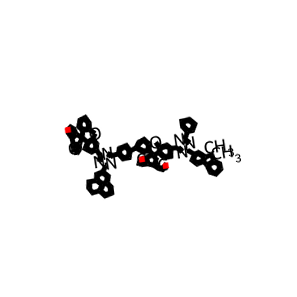 CC1(C)c2ccccc2-c2ccc(-c3nc(-c4ccccc4)nc(-c4ccc5c(c4)Oc4ccc(-c6ccc(-c7nc(-c8ccc9c(c8)Oc8ccccc8C98c9ccccc9-c9ccccc98)nc(-c8cc9c%10c(cccc%10c8)CC=C9)n7)cc6)cc4C54c5ccccc5-c5ccccc54)n3)cc21